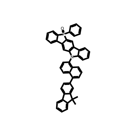 CC1(C)c2ccccc2-c2ccc(-c3cccc4c(-n5c6ccccc6c6cc7c(cc65)-c5ccccc5P7(=O)c5ccccc5)cccc34)cc21